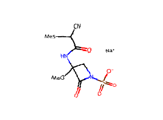 COC1(NC(=O)C(C#N)SC)CN(S(=O)(=O)[O-])C1=O.[Na+]